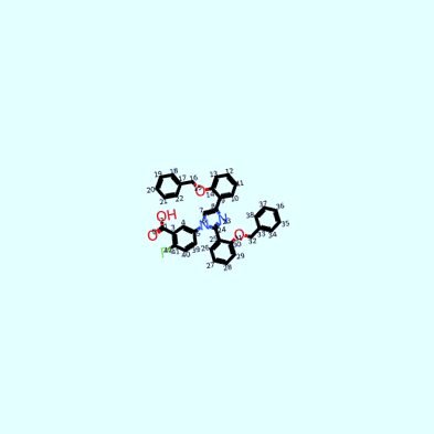 O=C(O)c1cc(-n2cc(-c3ccccc3OCc3ccccc3)nc2-c2ccccc2OCc2ccccc2)ccc1F